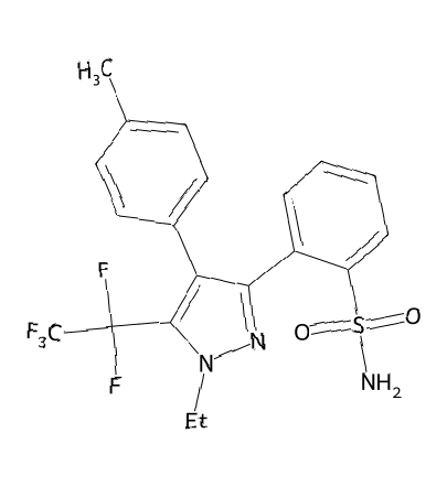 CCn1nc(-c2ccccc2S(N)(=O)=O)c(-c2ccc(C)cc2)c1C(F)(F)C(F)(F)F